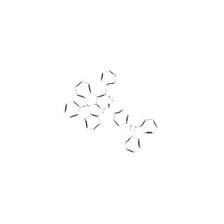 c1ccc(-c2nc(-c3ccc(-n4c5ccccc5c5ccccc54)cc3)nc3c2-c2ccccc2C32c3ccccc3-c3ccccc32)cc1